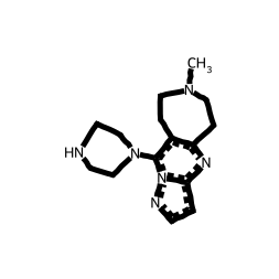 CN1CCc2nc3ccnn3c(N3CCNCC3)c2CC1